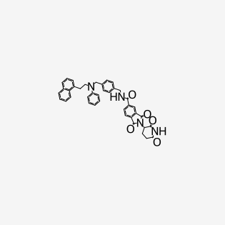 O=C1CCC(N2C(=O)c3ccc(C(=O)NCc4ccc(CN(CCc5cccc6ccccc56)c5ccccc5)cc4)cc3C2=O)C(=O)N1